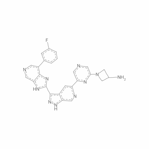 NC1CN(c2cncc(-c3cc4c(-c5nc6c(-c7cccc(F)c7)cncc6[nH]5)n[nH]c4cn3)n2)C1